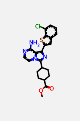 COC(=O)C1CCC(c2nc(-c3cc4cccc(Cl)c4s3)c3c(N)nccn23)CC1